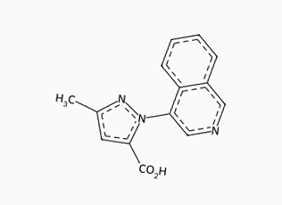 Cc1cc(C(=O)O)n(-c2cncc3ccccc23)n1